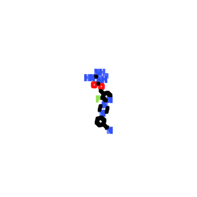 N#Cc1cccc(N2CCN(c3nccc(COC(=O)NC(=N)N)c3F)CC2)c1